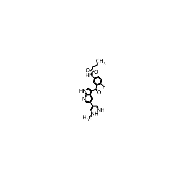 CCCS(=O)(=O)Nc1ccc(F)c(C(=O)c2c[nH]c3ncc(/C(C=N)=C/NC)cc23)c1